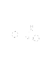 CC(NC(C)(CN)CC1CCc2ccccc2C1)c1ccccc1